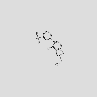 O=c1n(-c2cccc(C(F)(F)F)c2)ccc2nc(CCl)cn12